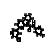 O=C(Nc1ccc(F)cn1)N1c2nc(-c3cncc(Cl)c3)ccc2C2CCCC21